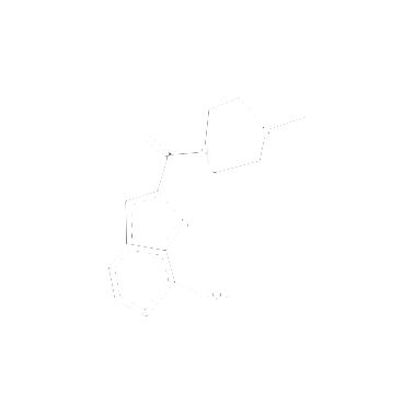 COc1cccc2cc(C(=O)N3CCN(C)CC3)[nH]c12